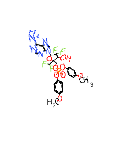 COc1ccc(OP(=O)(OC[C@@]2(C(F)F)O[C@@H](n3cnc4c(N)ncnc43)C(F)(F)[C@H]2O)Oc2ccc(OC)cc2)cc1